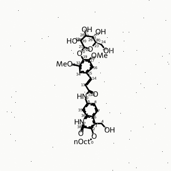 CCCCCCCCOc1c(CO)c2ccc(NC(=O)C=Cc3cc(OC)c(O[C@@H]4O[C@H](CO)[C@@H](O)[C@H](O)[C@H]4O)c(OC)c3)cc2[nH]c1=O